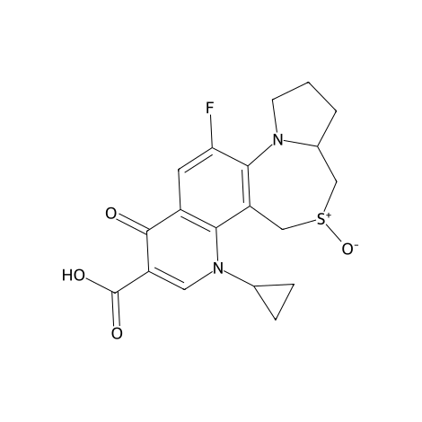 O=C(O)c1cn(C2CC2)c2c3c(c(F)cc2c1=O)N1CCCC1C[S+]([O-])C3